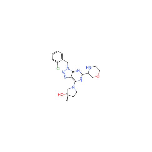 C[C@]1(O)CCN(c2nc(C3COCCN3)nc3c2nnn3Cc2ccccc2Cl)C1